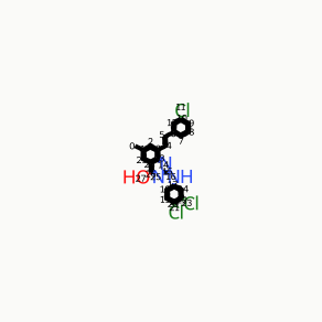 Cc1cc(C=Cc2cccc(Cl)c2)c2nc(Nc3ccc(Cl)c(Cl)c3)nc(O)c2c1